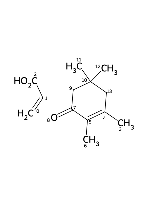 C=CC(=O)O.CC1=C(C)C(=O)CC(C)(C)C1